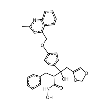 Cc1cc(COc2ccc(C(O)(CC3=COCO3)C(Cc3ccccc3)C(=O)NO)cc2)c2ccccc2n1